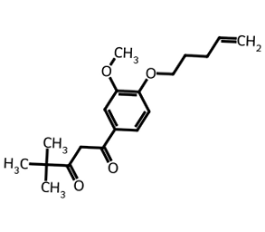 C=CCCCOc1ccc(C(=O)CC(=O)C(C)(C)C)cc1OC